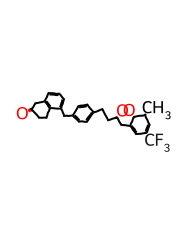 CC1C=C(C(F)(F)F)C=C(CC(=O)CCc2ccc(Cc3cccc4c3CCC(=O)C4)cc2)C1=O